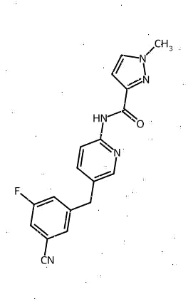 Cn1ccc(C(=O)Nc2ccc(Cc3cc(F)cc(C#N)c3)cn2)n1